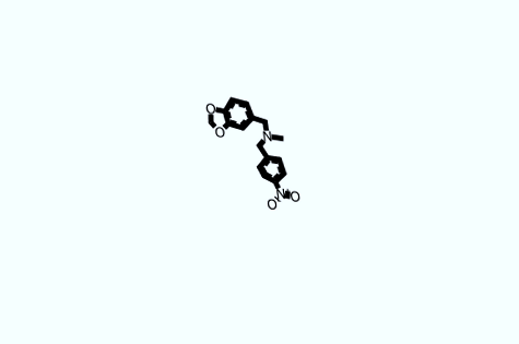 CN(Cc1ccc([N+](=O)[O-])cc1)Cc1ccc2c(c1)OCO2